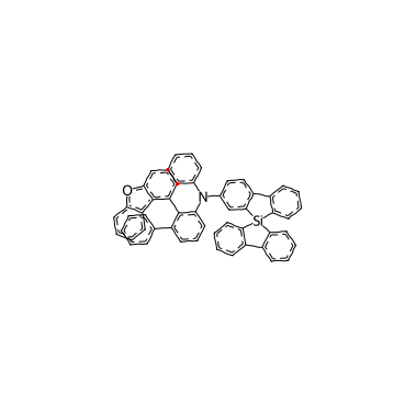 c1ccc(-c2cccc(N(c3ccccc3)c3ccc4c(c3)[Si]3(c5ccccc5-c5ccccc53)c3ccccc3-4)c2-c2cccc3oc4ccccc4c23)cc1